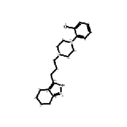 Clc1ccccc1N1CCN(CCCc2[nH]nc3c2CCCC3)CC1